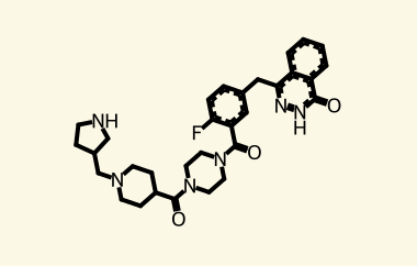 O=C(c1cc(Cc2n[nH]c(=O)c3ccccc23)ccc1F)N1CCN(C(=O)C2CCN(CC3CCNC3)CC2)CC1